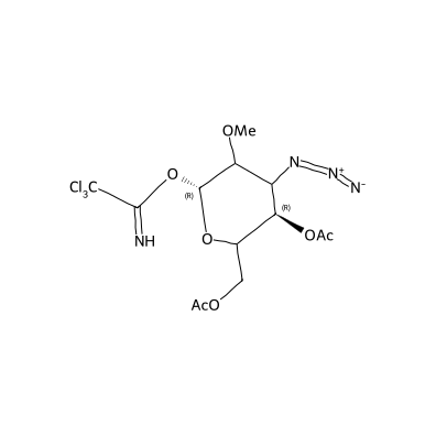 COC1C(N=[N+]=[N-])[C@@H](OC(C)=O)C(COC(C)=O)O[C@@H]1OC(=N)C(Cl)(Cl)Cl